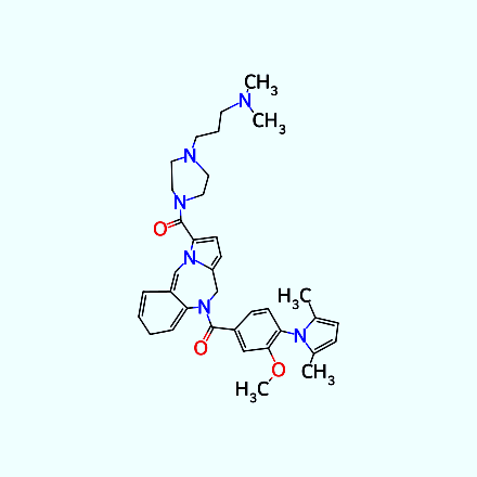 COc1cc(C(=O)N2Cc3ccc(C(=O)N4CCN(CCCN(C)C)CC4)n3C=C3C=CCC=C32)ccc1-n1c(C)ccc1C